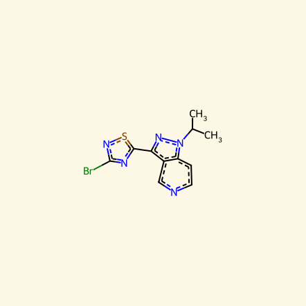 CC(C)n1nc(-c2nc(Br)ns2)c2cnccc21